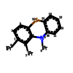 CC(C)c1ccc2c(c1C(C)C)N(C(C)C)c1ccccc1S2